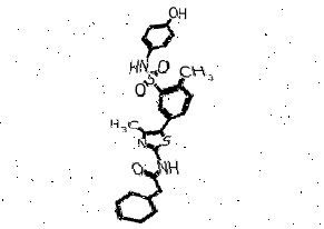 Cc1ccc(-c2sc(NC(=O)CC3CCCCC3)nc2C)cc1S(=O)(=O)Nc1ccc(O)cc1